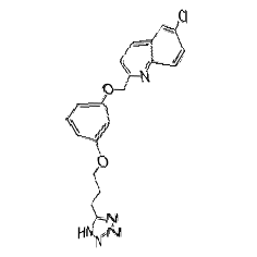 Clc1ccc2nc(COc3cccc(OCCCc4nnn[nH]4)c3)ccc2c1